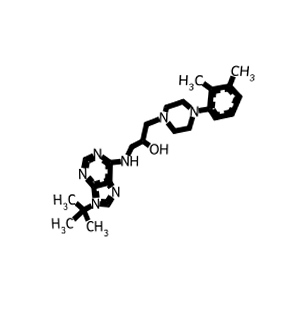 Cc1cccc(N2CCN(CC(O)CNc3ncnc4c3ncn4C(C)(C)C)CC2)c1C